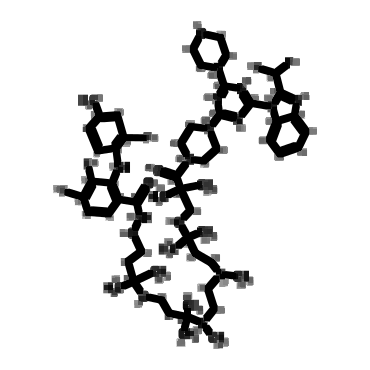 Cc1ccc(Nc2c(C(=O)NOCCC(C)(C)OCCC(C)(C)N(C)CCN(C)CCC(C)(C)OCC(C)(C)C(=O)N3CCN(c4nc(N5CCOCC5)nc(-n5c(C(F)F)nc6ccccc65)n4)CC3)ccc(F)c2F)c(F)c1